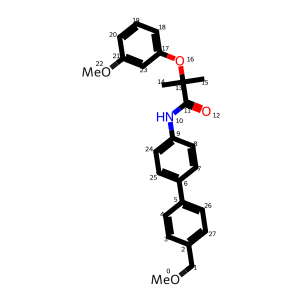 COCc1ccc(-c2ccc(NC(=O)C(C)(C)Oc3cccc(OC)c3)cc2)cc1